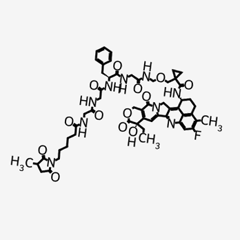 CC[C@@]1(O)C(=O)OCc2c1cc1n(c2=O)Cc2c-1nc1cc(F)c(C)c3c1c2[C@@H](NC(=O)C1(COCNC(=O)CNC(=O)[C@H](Cc2ccccc2)NC(=O)CNC(=O)CNC(=O)CCCCCN2C(=O)CC(C)C2=O)CC1)CC3